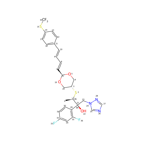 C[C@@H](S[C@H]1CO[C@H](C=CC=Cc2ccc(SC(F)(F)F)cc2)OC1)[C@](O)(Cn1cncn1)c1ccc(F)cc1F